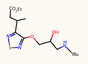 CCOC(=O)CC(C)c1nsnc1OCC(O)CNC(C)(C)C